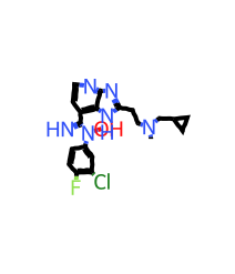 CN(CCc1nc2nccc(C(=N)N(O)c3ccc(F)c(Cl)c3)c2[nH]1)CC1CC1